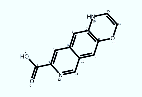 O=C(O)c1cc2cc3c(cc2cn1)OC=CN3